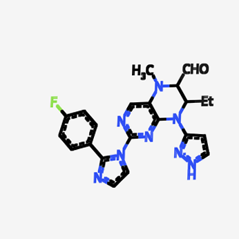 CCC1C(C=O)N(C)c2cnc(-n3ccnc3-c3ccc(F)cc3)nc2N1c1cc[nH]n1